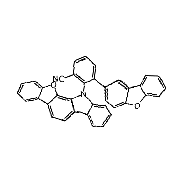 N#Cc1cccc(-c2ccc3oc4ccccc4c3c2)c1-n1c2ccccc2c2ccc3c4ccccc4oc3c21